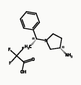 C[C@H](c1ccccc1)N1CC[C@H](N)C1.O=C(O)C(F)(F)F